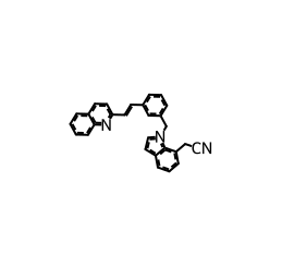 N#CCc1cccc2ccn(Cc3cccc(/C=C/c4ccc5ccccc5n4)c3)c12